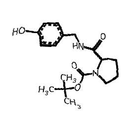 CC(C)(C)OC(=O)N1CCCC1C(=O)NCc1ccc(O)cc1